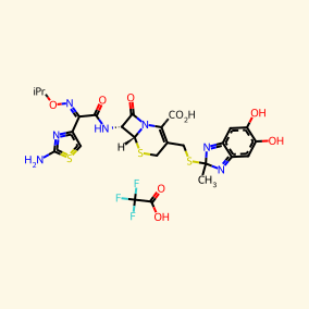 CC(C)O/N=C(/C(=O)N[C@@H]1C(=O)N2C(C(=O)O)=C(CSC3(C)N=c4cc(O)c(O)cc4=N3)CS[C@H]12)c1csc(N)n1.O=C(O)C(F)(F)F